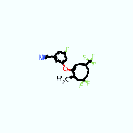 C=C1CC(F)(F)CC/C(C(F)(F)F)=C\C=C/1Oc1cc(F)cc(C#N)c1